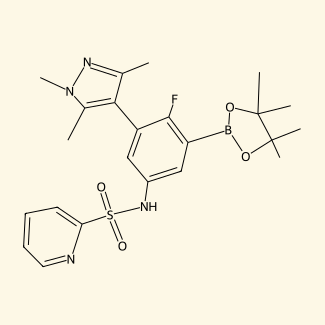 Cc1nn(C)c(C)c1-c1cc(NS(=O)(=O)c2ccccn2)cc(B2OC(C)(C)C(C)(C)O2)c1F